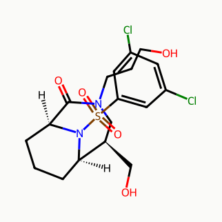 O=C1[C@@H]2CCC[C@H]([C@H](CO)CN1CCCO)N2S(=O)(=O)c1cc(Cl)cc(Cl)c1